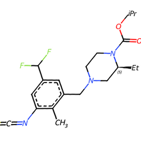 CC[C@H]1CN(Cc2cc(C(F)F)cc(N=C=S)c2C)CCN1C(=O)OC(C)C